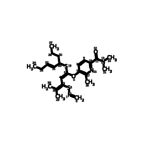 C=NSC(/C=C(\Oc1ccc(C(=O)N(C)C)nc1C)SC(C=CCC)CCC)=C(C)C